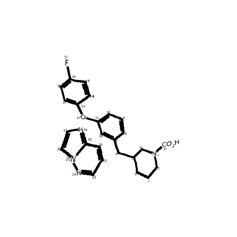 O=C(O)N1CCCC(Cc2cccc(Oc3ccc(F)cc3)c2)C1.c1cnn2ccnc2c1